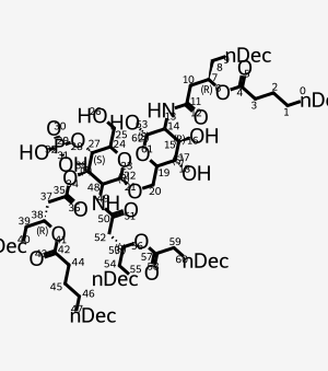 CCCCCCCCCCCCCC(=O)O[C@H](CCCCCCCCCCC)CC(=O)NC1[C@@H](O)[C@H](O)C(CO[C@@H]2OC(CO)[C@@H](OP(=O)(O)O)[C@H](OC(=O)C[C@@H](CCCCCCCCCCC)OC(=O)CCCCCCCCCCCCC)C2NC(=O)C[C@@H](CCCCCCCCCCC)OC(=O)CCCCCCCCCCC)O[C@@H]1O